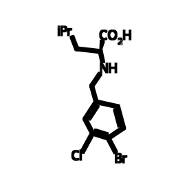 CC(C)C[C@H](NCc1ccc(Br)c(Cl)c1)C(=O)O